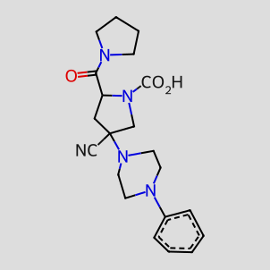 N#CC1(N2CCN(c3ccccc3)CC2)CC(C(=O)N2CCCC2)N(C(=O)O)C1